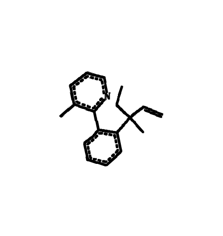 C=CC(C)(CC)c1ccccc1-c1ncccc1C